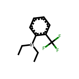 C[CH2][In]([CH2]C)[c]1ccccc1C(F)(F)F